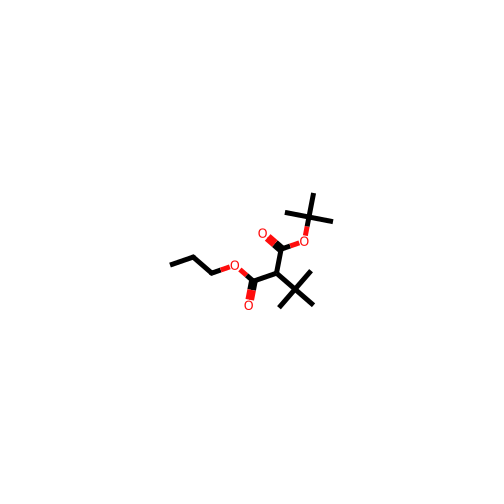 CCCOC(=O)C(C(=O)OC(C)(C)C)C(C)(C)C